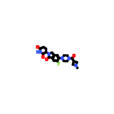 CN1CC(C(=O)N2CCN(c3cc4c(cc3F)C(=O)N(C3CCC(=O)NC3=O)C4)CC2)C1